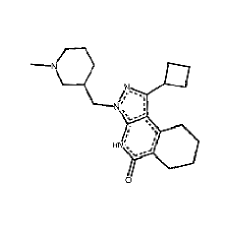 CN1CCCC(Cn2nc(C3CCC3)c3c4c(c(=O)[nH]c32)CCCC4)C1